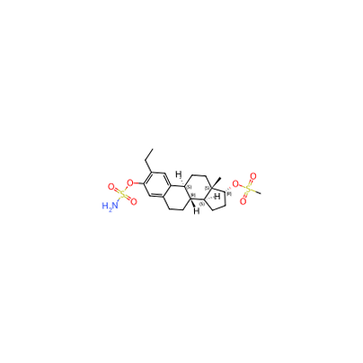 CCc1cc2c(cc1OS(N)(=O)=O)CC[C@@H]1[C@@H]2CC[C@]2(C)[C@H](OS(C)(=O)=O)CC[C@@H]12